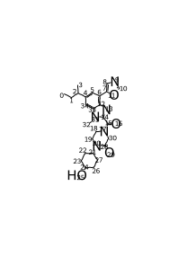 CCC(C)c1cc(-c2cnco2)c2nc(C(=O)N3CCN([C@H]4CC[C@H](O)CC4)C(=O)C3)n(C)c2c1